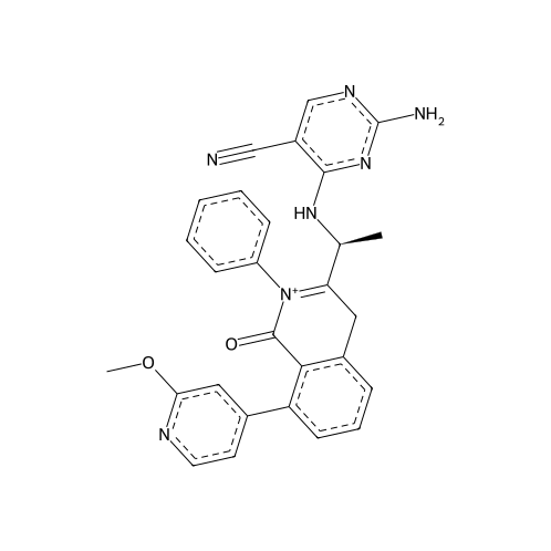 COc1cc(-c2cccc3c2C(=O)[N+](c2ccccc2)=C([C@H](C)Nc2nc(N)ncc2C#N)C3)ccn1